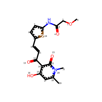 COCC(=O)Nc1ccc(C=CC(=O)c2c(O)cc(C)n(C)c2=O)s1